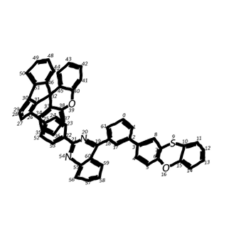 c1cc(-c2ccc3c(c2)Sc2ccccc2O3)cc(-c2nc(-c3ccc(-c4cccc5c4C4(c6ccccc6Oc6ccccc64)c4ccccc4-5)cc3)nc3ccccc23)c1